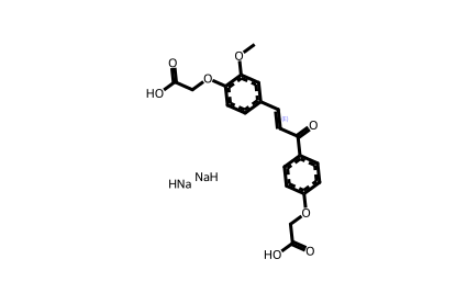 COc1cc(/C=C/C(=O)c2ccc(OCC(=O)O)cc2)ccc1OCC(=O)O.[NaH].[NaH]